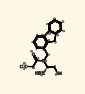 O=C(O)[C@@H](CS)N(Cc1cccc2c1Cc1ccccc1-2)C(=O)CC(Cl)(Cl)Cl